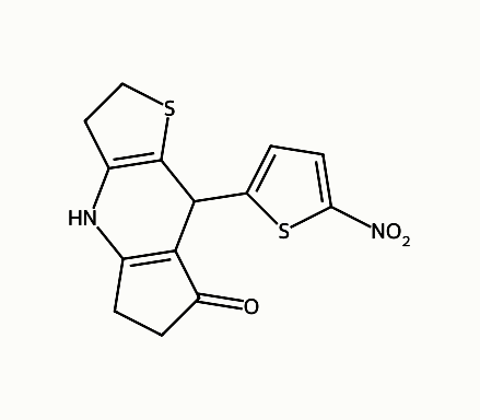 O=C1CCC2=C1C(c1ccc([N+](=O)[O-])s1)C1=C(CCS1)N2